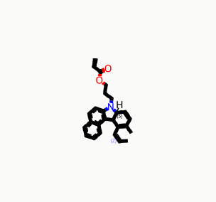 C=CC(=O)OCCCN1c2ccc3ccccc3c2C2C(/C=C\C)=C(C)C=C[C@@H]21